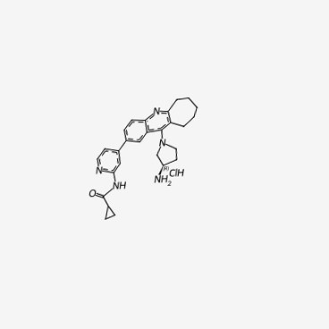 Cl.N[C@@H]1CCN(c2c3c(nc4ccc(-c5ccnc(NC(=O)C6CC6)c5)cc24)CCCCC3)C1